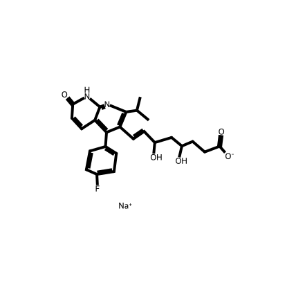 CC(C)c1nc2[nH]c(=O)ccc2c(-c2ccc(F)cc2)c1/C=C/C(O)CC(O)CCC(=O)[O-].[Na+]